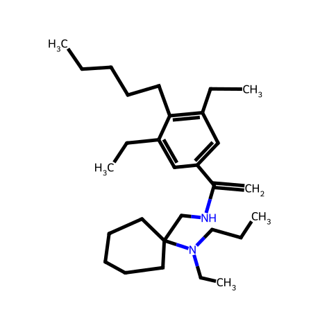 C=C(NCC1(N(CC)CCC)CCCCC1)c1cc(CC)c(CCCCC)c(CC)c1